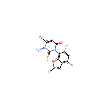 CCc1cc2c(Cl)cc(F)c(-n3c(=O)cc(C(F)(F)F)n(N)c3=O)c2o1